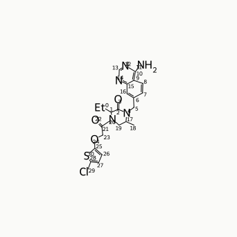 CCC1C(=O)N(Cc2ccc3c(N)ncnc3c2)C(C)CN1C(=O)COc1ccc(Cl)s1